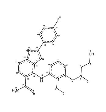 CCc1c(CN(C)CCO)cccc1Nc1c(C(N)=O)cnc2[nH]c(-c3ccc(F)cc3)cc12